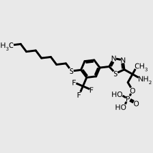 CCCCCCCCSc1ccc(-c2nnc(C(C)(N)COP(=O)(O)O)s2)cc1C(F)(F)F